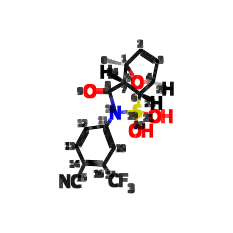 C[C@]12C=C[C@H](O1)[C@H]1[C@@H]2C(=O)N(c2ccc(C#N)c(C(F)(F)F)c2)S1(O)O